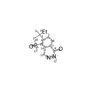 CCC(C)(C)c1ccc2c(=O)n(C)ncc2c1P(C)(C)=O